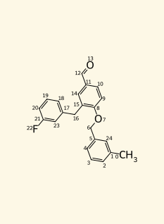 Cc1cccc(COc2ccc(C=O)cc2Cc2cccc(F)c2)c1